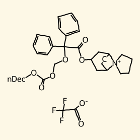 CCCCCCCCCCOC(=O)OCOC(C(=O)OC1CC2CCC(C1)[N+]21CCCC1)(c1ccccc1)c1ccccc1.O=C([O-])C(F)(F)F